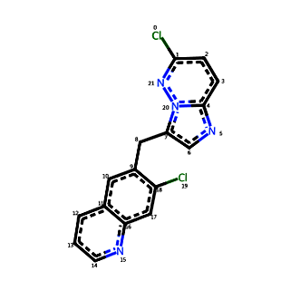 Clc1ccc2ncc(Cc3cc4cccnc4cc3Cl)n2n1